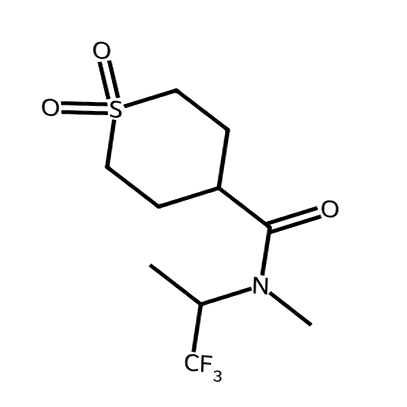 CC(N(C)C(=O)C1CCS(=O)(=O)CC1)C(F)(F)F